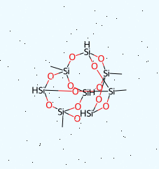 C[Si]12O[SiH]3O[Si]4(C)O[SiH](O1)O[Si]1(C)O[SiH](O2)O[Si](C)(O3)O[SiH](O4)O1